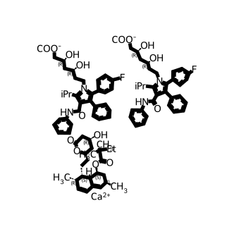 CC(C)c1c(C(=O)Nc2ccccc2)c(-c2ccccc2)c(-c2ccc(F)cc2)n1CC[C@@H](O)C[C@@H](O)CC(=O)[O-].CC(C)c1c(C(=O)Nc2ccccc2)c(-c2ccccc2)c(-c2ccc(F)cc2)n1CC[C@@H](O)C[C@@H](O)CC(=O)[O-].CCC(C)(C)C(=O)O[C@H]1C[C@@H](C)C=C2C=C[C@H](C)[C@H](CC[C@@H]3C[C@@H](O)CC(=O)O3)[C@H]21.[Ca+2]